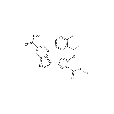 COC(=O)c1ccn2c(-c3cc(OC(C)c4ccccc4Cl)c(C(=O)OC(C)(C)C)s3)cnc2c1